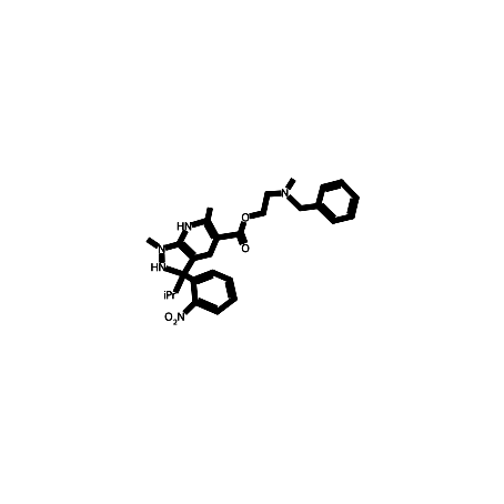 CC1=C(C(=O)OCCN(C)Cc2ccccc2)CC2=C(N1)N(C)NC2(c1ccccc1[N+](=O)[O-])C(C)C